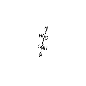 CN(C)CCCNC(=O)CCCCC(=O)NCCCN(C)C